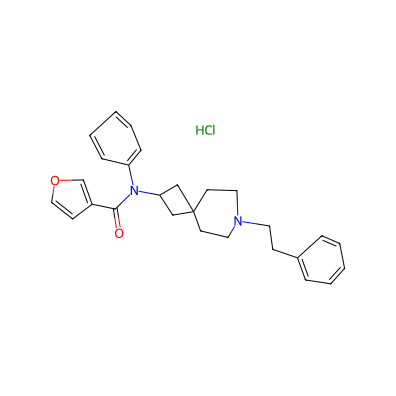 Cl.O=C(c1ccoc1)N(c1ccccc1)C1CC2(CCN(CCc3ccccc3)CC2)C1